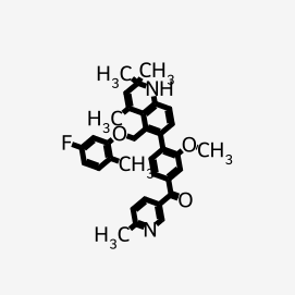 COc1cc(C(=O)c2ccc(C)nc2)ccc1-c1ccc2c(c1COc1cc(F)ccc1C)C(C)=CC(C)(C)N2